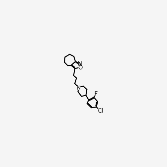 Fc1cc(Cl)ccc1C1CCN(CCCc2onc3c2CCCCC3)CC1